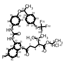 CCOC(=O)C(CCC(=O)n1cc(NC(=O)Nc2ccc(OC(C)c3ccc(SC(F)(F)F)cc3)cc2)c2cc(F)ccc21)N(C)C.Cl